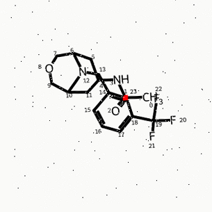 CC(=O)NC1CC2COCC(C1)N2Cc1cccc(C(F)(F)F)c1